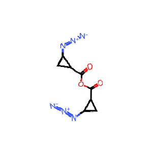 [N-]=[N+]=NC1CC1C(=O)OC(=O)C1CC1N=[N+]=[N-]